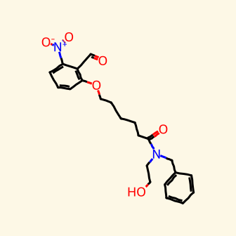 O=Cc1c(OCCCCCC(=O)N(CCO)Cc2ccccc2)cccc1[N+](=O)[O-]